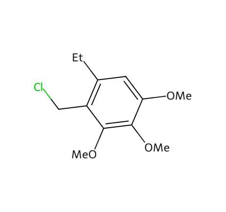 CCc1cc(OC)c(OC)c(OC)c1CCl